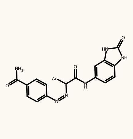 CC(=O)C(/N=N\c1ccc(C(N)=O)cc1)C(=O)Nc1ccc2[nH]c(=O)[nH]c2c1